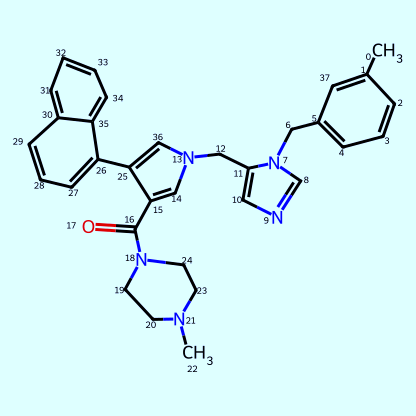 Cc1cccc(Cn2cncc2Cn2cc(C(=O)N3CCN(C)CC3)c(-c3cccc4ccccc34)c2)c1